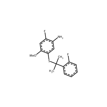 COc1cc(F)c(N)cc1SC(C)(C)c1ccccc1F